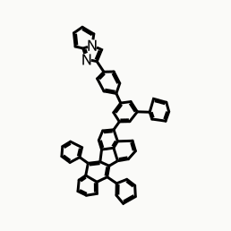 c1ccc(-c2cc(-c3ccc(-c4cn5ccccc5n4)cc3)cc(-c3ccc4c5c(cccc35)-c3c-4c(-c4ccccc4)c4ccccc4c3-c3ccccc3)c2)cc1